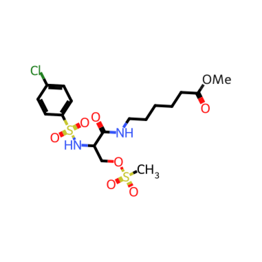 COC(=O)CCCCCNC(=O)C(COS(C)(=O)=O)NS(=O)(=O)c1ccc(Cl)cc1